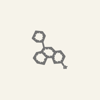 Brc1ccc2cc(-c3ccccc3)c3ccccc3c2c1